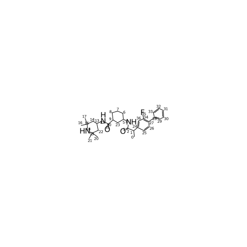 CC(C(=O)NC1CCCC(C(=O)NC2CC(C)(C)NC(C)(C)C2)C1)c1ccc(-c2ccccc2)c(F)c1